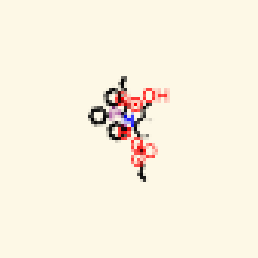 C=CCOC(=O)O[C@H](C)[C@H]1C(=O)N(C(C(=O)OCC=C)=P(c2ccccc2)(c2ccccc2)c2ccccc2)[C@@H]1[C@@H](C)C(=O)CO